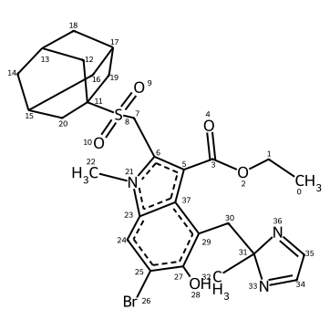 CCOC(=O)c1c(CS(=O)(=O)C23CC4CC(CC(C4)C2)C3)n(C)c2cc(Br)c(O)c(CC3(C)N=CC=N3)c12